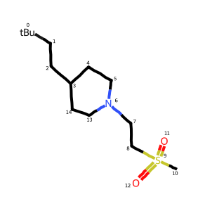 CC(C)(C)CCC1CCN(CCS(C)(=O)=O)CC1